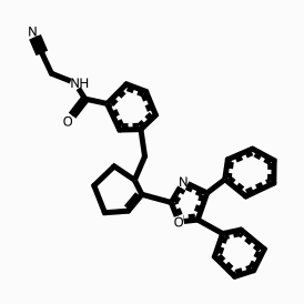 N#CCNC(=O)c1cccc(CC2CCCC=C2c2nc(-c3ccccc3)c(-c3ccccc3)o2)c1